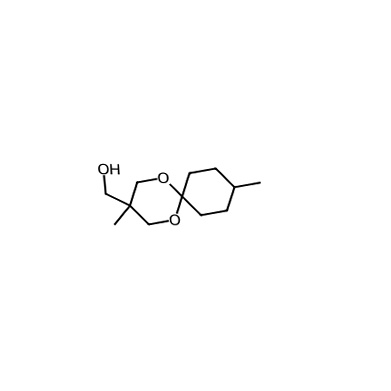 CC1CCC2(CC1)OCC(C)(CO)CO2